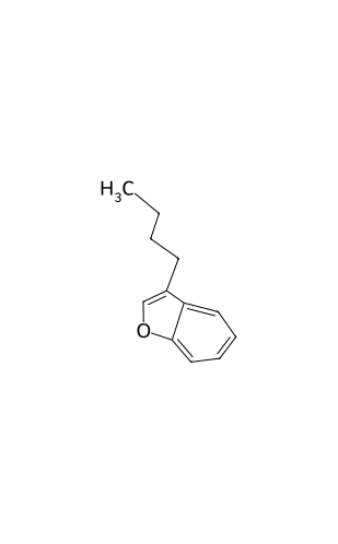 CCCCc1coc2ccccc12